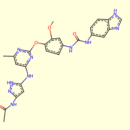 COc1cc(NC(=O)Nc2ccc3[nH]cnc3c2)ccc1Oc1nc(C)cc(Nc2cc(NC(C)=O)n[nH]2)n1